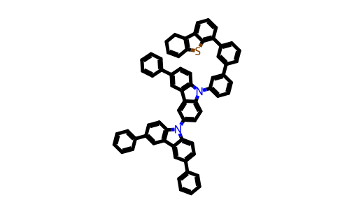 C1=Cc2sc3c(-c4cccc(-c5cccc(-n6c7ccc(-c8ccccc8)cc7c7cc(-n8c9ccc(-c%10ccccc%10)cc9c9cc(-c%10ccccc%10)ccc98)ccc76)c5)c4)cccc3c2CC1